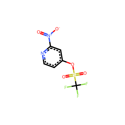 O=[N+]([O-])c1cc(OS(=O)(=O)C(F)(F)F)ccn1